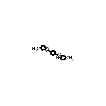 Cc1ccc2nc(-c3ccc(-c4nc5ccc(C)cc5s4)cc3)oc2c1